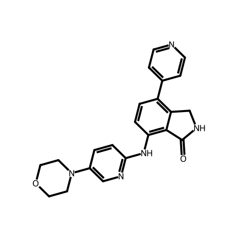 O=C1NCc2c(-c3ccncc3)ccc(Nc3ccc(N4CCOCC4)cn3)c21